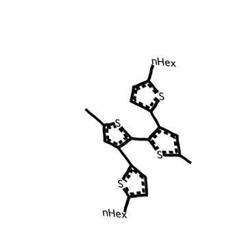 CCCCCCc1ccc(-c2cc(C)sc2-c2sc(C)cc2-c2ccc(CCCCCC)s2)s1